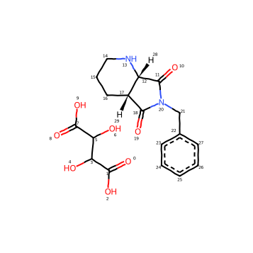 O=C(O)C(O)C(O)C(=O)O.O=C1[C@H]2NCCC[C@H]2C(=O)N1Cc1ccccc1